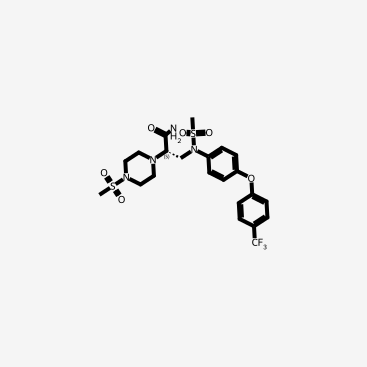 CS(=O)(=O)N1CCN([C@@H](CN(c2ccc(Oc3ccc(C(F)(F)F)cc3)cc2)S(C)(=O)=O)C(N)=O)CC1